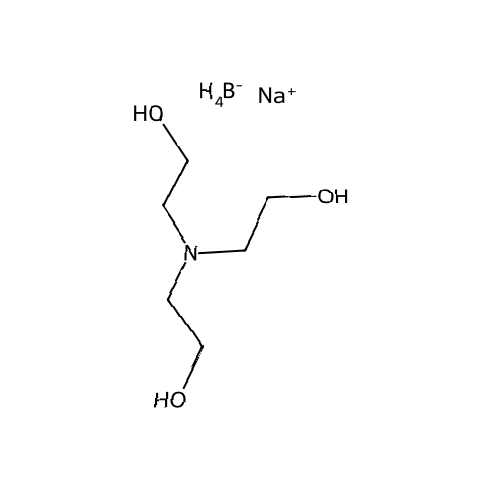 OCCN(CCO)CCO.[BH4-].[Na+]